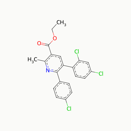 CCOC(=O)c1cc(-c2ccc(Cl)cc2Cl)c(-c2ccc(Cl)cc2)nc1C